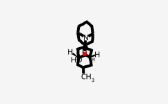 CC1C[C@@H]2CC(N3C4CCCC3CC(=NO)C4)C[C@H](C1)C2